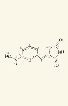 O=C1NC(=O)/C(=C/c2cccc(NO)c2)S1